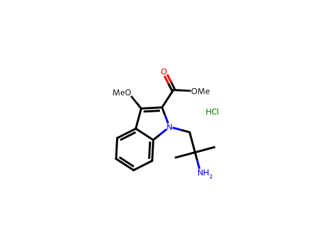 COC(=O)c1c(OC)c2ccccc2n1CC(C)(C)N.Cl